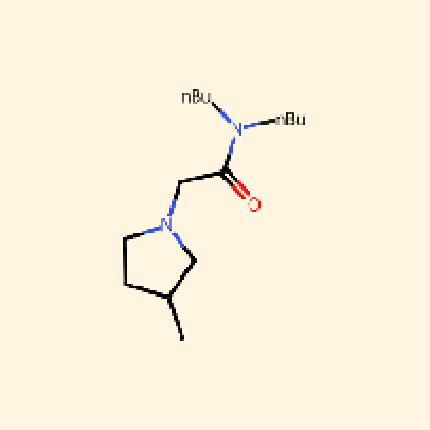 CCCCN(CCCC)C(=O)CN1CCC(C)C1